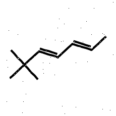 CC=CC=CC(C)(C)C